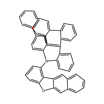 c1ccc(-c2ccc(N(c3ccccc3-c3cc4ccccc4c4ccccc34)c3cccc4oc5cc6ccccc6cc5c34)cc2)cc1